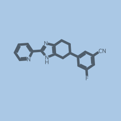 N#Cc1cc(F)cc(C2CCc3nc(-c4ccccn4)[nH]c3C2)c1